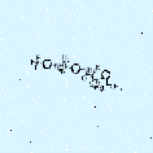 CC(C)c1ccccc1N1C(=O)CS/C1=C(/C#N)C(=O)Nc1ccc(C(N)/N=C\Nc2ccc(C(F)(F)F)cc2)cc1